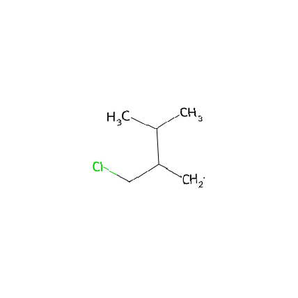 [CH2]C(CCl)C(C)C